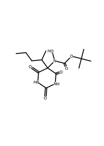 CCCC(C)C1(N(O)C(=O)OC(C)(C)C)C(=O)NC(=O)NC1=O